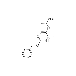 C=C(CCCC)OC(=O)[C@H](C)NC(=O)OCc1ccccc1